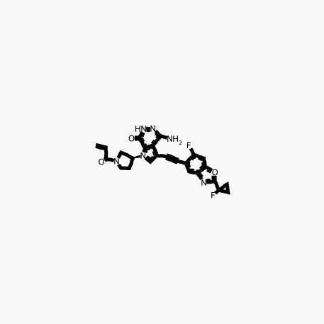 C=CC(=O)N1CC[C@H](n2cc(C#Cc3cc4nc(C5(F)CC5)oc4cc3F)c3c(N)n[nH]c(=O)c32)C1